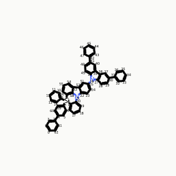 c1ccc(-c2ccc([Si]3(c4ccccc4)c4ccccc4-n4c5ccc(-n6c7ccc(-c8ccccc8)cc7c7cc(-c8ccccc8)ccc76)cc5c5cccc3c54)cc2)cc1